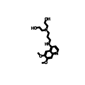 COc1cc2nccc(NCCCN(CCO)CCO)c2cc1OC